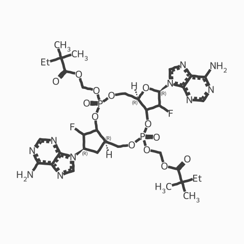 CCC(C)(C)C(=O)OCOP1(=O)OC[C@H]2O[C@@H](n3cnc4c(N)ncnc43)C(F)C2OP(=O)(OCOC(=O)C(C)(C)CC)OC[C@H]2C[C@@H](n3cnc4c(N)ncnc43)C(F)C2O1